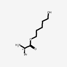 CC(C)[C@@H](N)C(=O)OCCCCCO